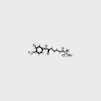 CC(C)(C)S(=O)(=O)NCCCCC(=O)Nc1ccc(C(F)(F)F)c(F)c1